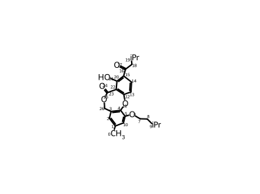 Cc1cc2c(c(OCCC(C)C)c1)Oc1ccc(C(=O)CC(C)C)c(O)c1C(=O)OC2